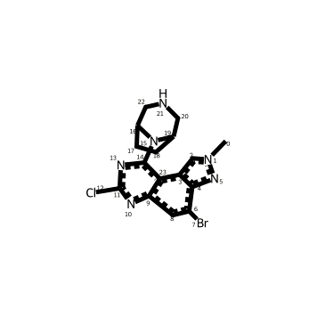 Cn1cc2c(n1)c(Br)cc1nc(Cl)nc(N3C4CCC3CNC4)c12